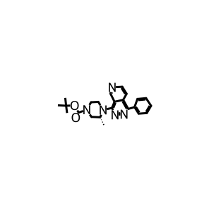 C[C@@H]1CN(C(=O)OC(C)(C)C)CCN1c1nnc(-c2ccccc2)c2ccncc12